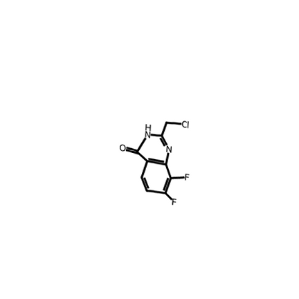 O=c1[nH]c(CCl)nc2c(F)c(F)ccc12